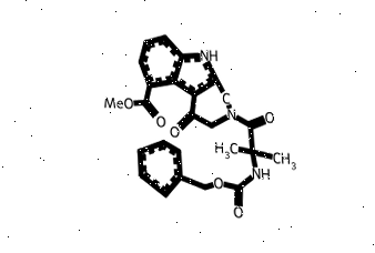 COC(=O)c1cccc2[nH]c3c(c12)C(=O)CN(C(=O)C(C)(C)NC(=O)OCc1ccccc1)C3